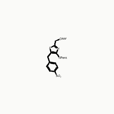 CCCCCc1nc(COC)sc1Cc1ccc([N+](=O)[O-])cc1